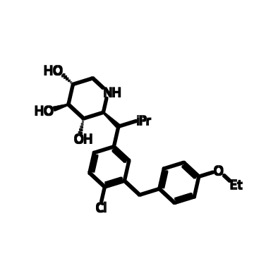 CCOc1ccc(Cc2cc(C(C(C)C)[C@@H]3NC[C@@H](O)[C@H](O)[C@H]3O)ccc2Cl)cc1